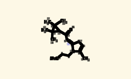 COCCn1c(C)cs/c1=N\C(=O)C1C(C)(C)C1(C)C